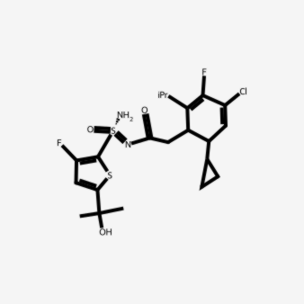 CC(C)C1=C(F)C(Cl)=CC(C2CC2)C1CC(=O)N=[S@](N)(=O)c1sc(C(C)(C)O)cc1F